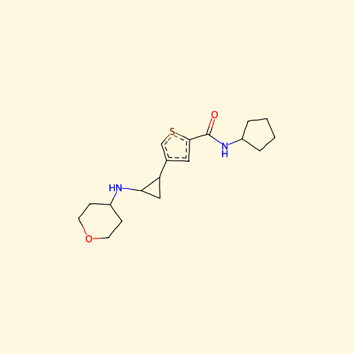 O=C(NC1CCCC1)c1cc(C2CC2NC2CCOCC2)cs1